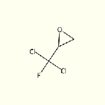 FC(Cl)(Cl)C1CO1